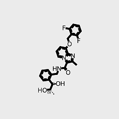 Cc1nc2c(OCc3c(F)cccc3F)cccn2c1C(=O)NCc1ccccc1[C@@H](O)[C@H](C)O